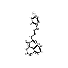 CN(C(=O)CCCSc1ccc(F)cc1)C1CCOc2ccccc21